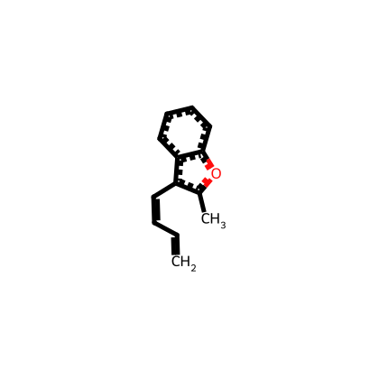 C=C/C=C\c1c(C)oc2ccccc12